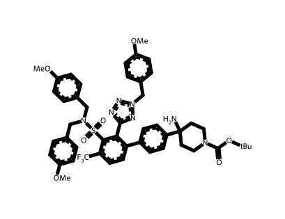 COc1ccc(CN(Cc2ccc(OC)cc2)S(=O)(=O)c2c(C(F)(F)F)ccc(-c3ccc(C4(N)CCN(C(=O)OC(C)(C)C)CC4)cc3)c2-c2nnn(Cc3ccc(OC)cc3)n2)cc1